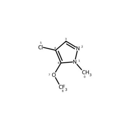 Cn1n[c]c(Cl)c1OC(F)(F)F